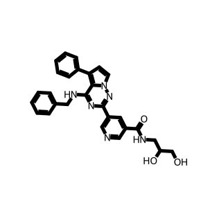 O=C(NCC(O)CO)c1cncc(-c2nc(NCc3ccccc3)c3c(-c4ccccc4)ccn3n2)c1